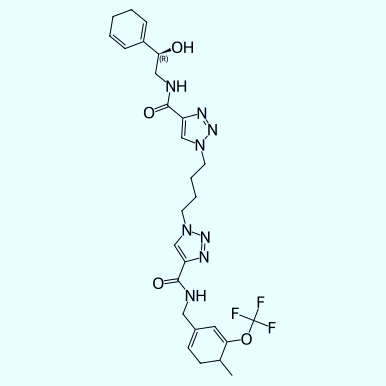 CC1CC=C(CNC(=O)c2cn(CCCCn3cc(C(=O)NC[C@H](O)C4=CCCC=C4)nn3)nn2)C=C1OC(F)(F)F